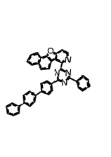 c1ccc(-c2ccc(-c3ccc(-c4nc(-c5ccccc5)nc(-c5nccc6oc7c8ccccc8ccc7c56)n4)cc3)cc2)cc1